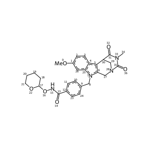 COc1ccc2c3c(n(Cc4ccc(C(=O)NOC5CCCCO5)cc4)c2c1)CN1CC3C(=O)N(C)C1=O